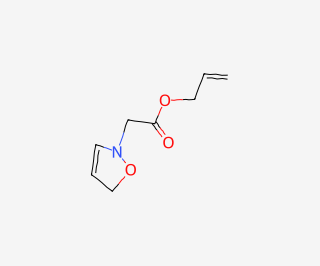 C=CCOC(=O)CN1C=CCO1